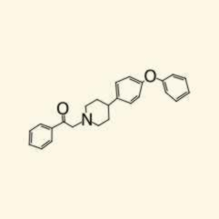 O=C(CN1CCC(c2ccc(Oc3ccccc3)cc2)CC1)c1ccccc1